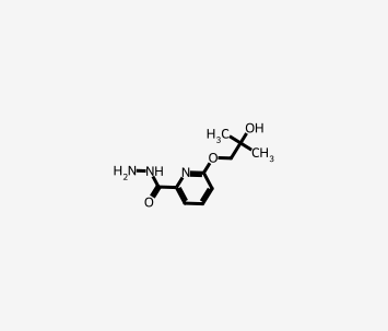 CC(C)(O)COc1cccc(C(=O)NN)n1